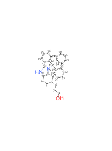 OCCCC1CCC2=C(C1)N(C(c1ccccc1)(c1ccccc1)c1ccccc1)CN2